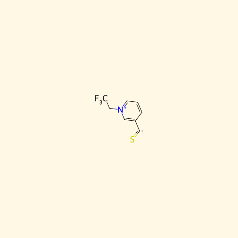 FC(F)(F)C[n+]1cccc([C]=S)c1